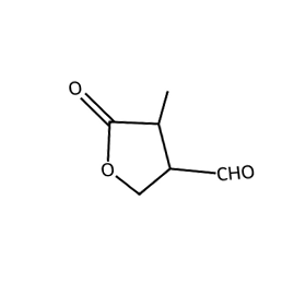 CC1C(=O)OCC1C=O